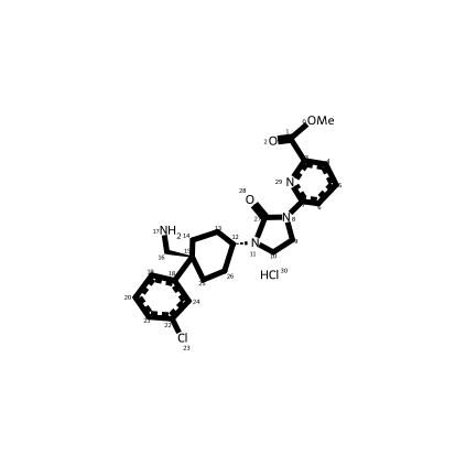 COC(=O)c1cccc(N2CCN([C@H]3CC[C@@](CN)(c4cccc(Cl)c4)CC3)C2=O)n1.Cl